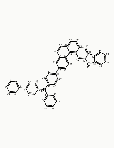 c1ccc(-c2ccc(N(c3ccccc3)c3ccc(-c4ccc5c(ccc6ccc7cc8c(cc7c65)oc5ccccc58)c4)cc3)cc2)cc1